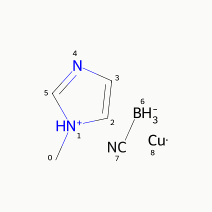 C[NH+]1C=CN=C1.[BH3-]C#N.[Cu]